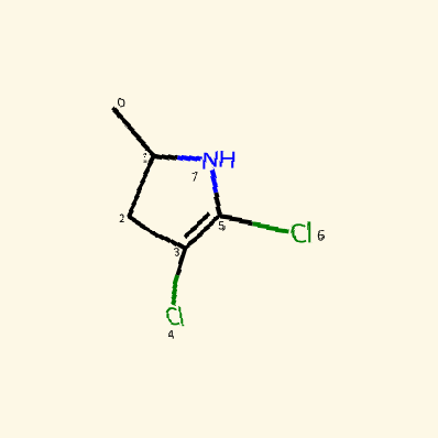 CC1CC(Cl)=C(Cl)N1